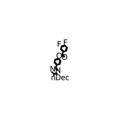 CCCCCCCCCCc1cnc(-c2ccc(OC(=O)c3ccc(F)c(F)c3)cc2)nc1